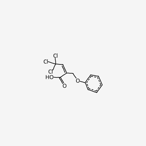 O=C(O)C(=CC(Cl)(Cl)Cl)COc1ccccc1